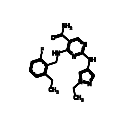 CCc1cccc(F)c1CNc1nc(Nc2cnn(CC)c2)ncc1C(N)=O